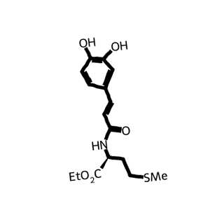 CCOC(=O)[C@H](CCSC)NC(=O)C=Cc1ccc(O)c(O)c1